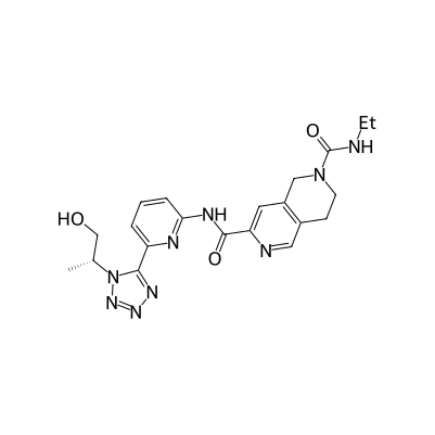 CCNC(=O)N1CCc2cnc(C(=O)Nc3cccc(-c4nnnn4[C@H](C)CO)n3)cc2C1